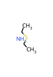 CCSCC.N